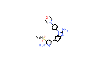 CNS(=O)(=O)c1cc(-c2ccc3nc(N)n(-c4ccc(N5CCOCC5)cc4)c3c2)cnc1N